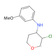 COc1cccc(NC2CCO[CH]C2Cl)c1